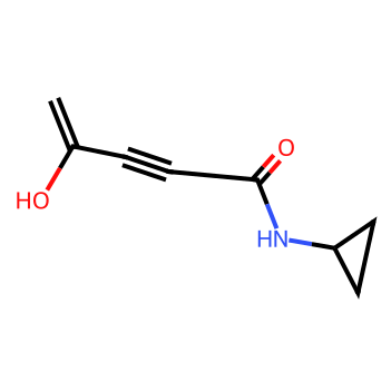 C=C(O)C#CC(=O)NC1CC1